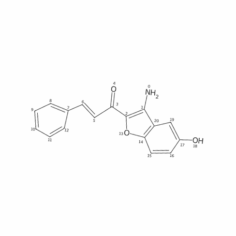 Nc1c(C(=O)/C=C/c2ccccc2)oc2ccc(O)cc12